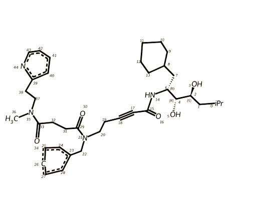 CC(C)C[C@H](O)[C@H](O)[C@@H](CC1CCCCC1)NC(=O)C#CCCN(Cc1ccccc1)C(=O)CCC(=O)N(C)CCc1ccccn1